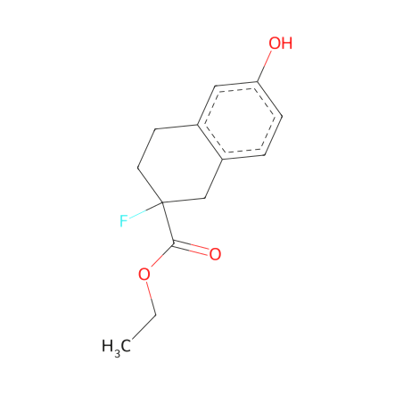 CCOC(=O)C1(F)CCc2cc(O)ccc2C1